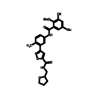 COc1c(C#N)cc(C(C)(C)C)cc1C(=O)Nc1ccc(C)c(-c2cc(C(=O)NCC3CCCO3)on2)c1